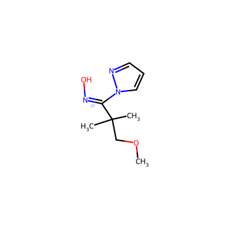 COCC(C)(C)/C(=N/O)n1cccn1